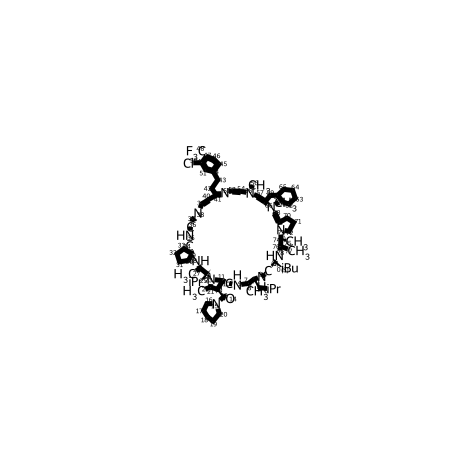 CC[C@H](C)[C@H]1CN[C@@H](CC(C)C)C(C)NCC2[C@@H](C(=O)N3CCCCC3)C(C)N2[C@@H](C(C)C)C(C)NC2(CCCC2)CNCC=NC=CC(CCc2ccc(C(F)(F)F)c(Cl)c2)=NC=CN(C)C=C(CC2CCCCC2)N(C)C=C2CCCN2[C@@H](C)C(C)N1